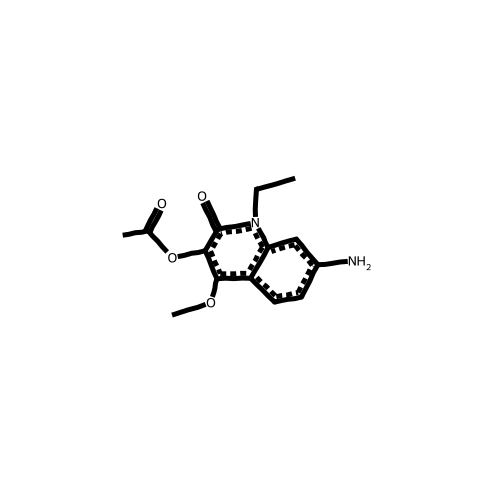 CCn1c(=O)c(OC(C)=O)c(OC)c2ccc(N)cc21